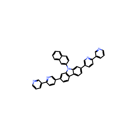 c1cncc(-c2ccc(-c3ccc4c5ccc(-c6ccc(-c7cccnc7)nc6)cc5n(-c5ccc6ccccc6c5)c4c3)cn2)c1